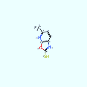 FC(F)(F)c1ccc2nc(S)oc2n1